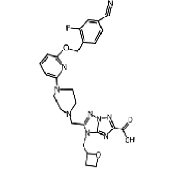 N#Cc1ccc(COc2cccc(N3CCN(Cc4nn5nc(C(=O)O)nc5n4CC4CCO4)CC3)n2)c(F)c1